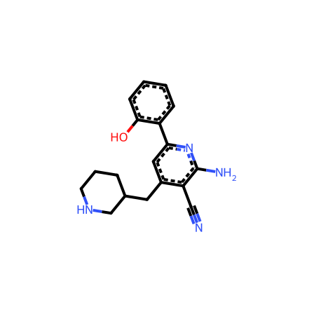 N#Cc1c(CC2CCCNC2)cc(-c2ccccc2O)nc1N